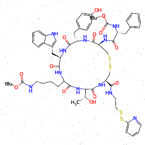 C[C@@H](O)C1NC(=O)C(CCCCNC(=O)OC(C)(C)C)NC(=O)[C@@H](Cc2c[nH]c3ccccc23)NC(=O)[C@H](Cc2ccc(O)cc2)NC(=O)[C@@H](NC(=O)[C@@H](Cc2ccccc2)NC(=O)OC(C)(C)C)CSSC[C@@H](C(=O)NCCSSc2ccccn2)NC1=O